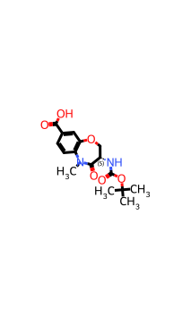 CN1C(=O)[C@@H](NC(=O)OC(C)(C)C)COc2cc(C(=O)O)ccc21